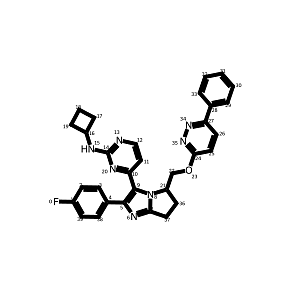 Fc1ccc(-c2nc3n(c2-c2ccnc(NC4CCC4)n2)C(COc2ccc(-c4ccccc4)nn2)CC3)cc1